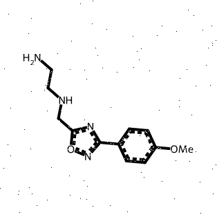 COc1ccc(-c2noc(CNCCN)n2)cc1